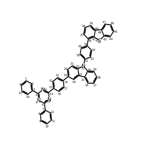 c1ccc(-c2nc(-c3ccccc3)nc(-c3ccc(-c4ccc5c(c4)c4ccccc4n5-c4ccc(-c5cccc6c5sc5ccccc56)cc4)cc3)n2)cc1